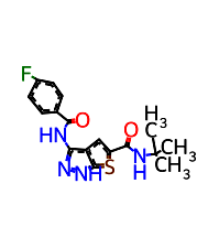 CC(C)(C)NC(=O)c1cc2c(NC(=O)c3ccc(F)cc3)n[nH]c2s1